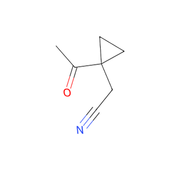 CC(=O)C1(CC#N)CC1